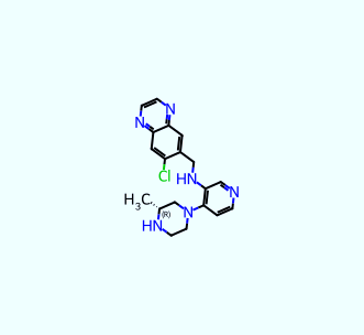 C[C@@H]1CN(c2ccncc2NCc2cc3nccnc3cc2Cl)CCN1